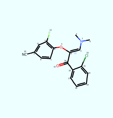 CN(C)/C=C(\Oc1ccc(C#N)cc1F)C(=O)c1ccccc1Cl